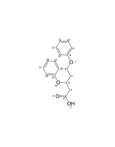 O=C(O)CC(CCOc1ccccc1)Oc1ccccc1